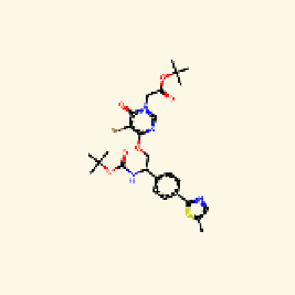 Cc1cnc(-c2ccc([C@H](COc3ncn(CC(=O)OC(C)(C)C)c(=O)c3Br)NC(=O)OC(C)(C)C)cc2)s1